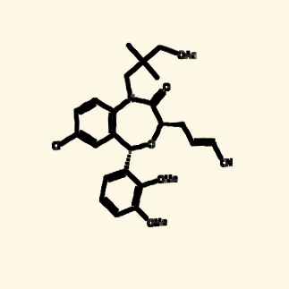 COc1cccc([C@H]2O[C@H](CC=CC#N)C(=O)N(CC(C)(C)COC(C)=O)c3ccc(Cl)cc32)c1OC